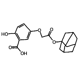 O=C(COc1ccc(O)c(C(=O)O)c1)OC12CC3CC(CC(C3)C1)C2